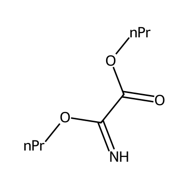 CCCOC(=N)C(=O)OCCC